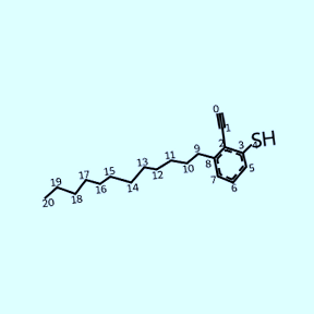 C#Cc1c(S)cccc1CCCCCCCCCCCC